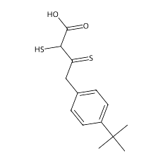 CC(C)(C)c1ccc(CC(=S)C(S)C(=O)O)cc1